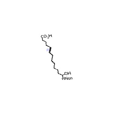 CCCCCCCCCC(O)CCCCCC/C=C/CCCC(=O)O